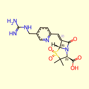 CC1(C)[C@H](C(=O)O)N2C(=O)/C(=C/c3ccc(CNC(=N)N)cn3)[C@H]2S1(=O)=O